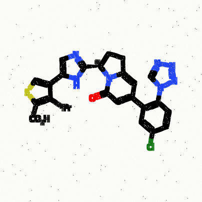 CC(C)c1c(-c2cnc([C@@H]3CCc4cc(-c5cc(Cl)ccc5-n5cnnn5)cc(=O)n43)[nH]2)csc1C(=O)O